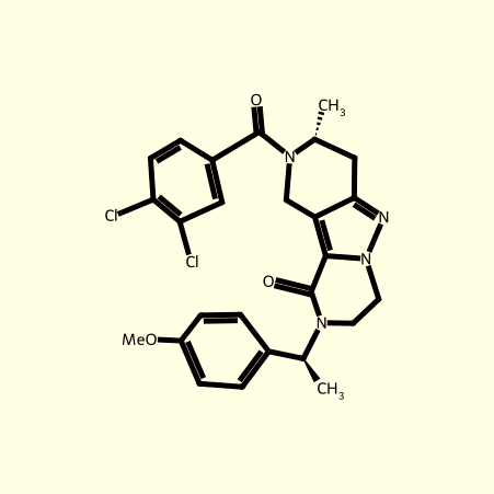 COc1ccc([C@H](C)N2CCn3nc4c(c3C2=O)CN(C(=O)c2ccc(Cl)c(Cl)c2)[C@H](C)C4)cc1